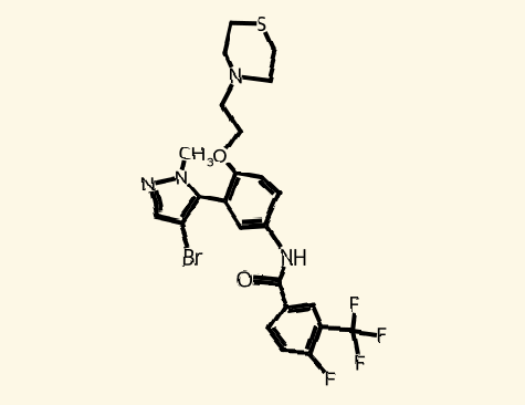 Cn1ncc(Br)c1-c1cc(NC(=O)c2ccc(F)c(C(F)(F)F)c2)ccc1OCCN1CCSCC1